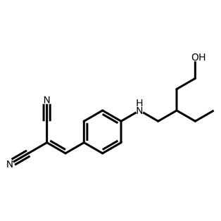 CCC(CCO)CNc1ccc(C=C(C#N)C#N)cc1